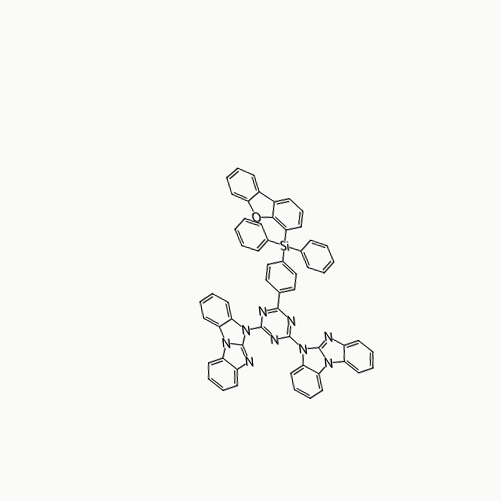 c1ccc([Si](c2ccccc2)(c2ccc(-c3nc(-n4c5ccccc5n5c6ccccc6nc45)nc(-n4c5ccccc5n5c6ccccc6nc45)n3)cc2)c2cccc3c2oc2ccccc23)cc1